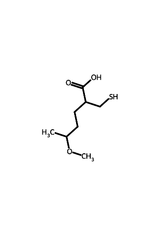 COC(C)CCC(CS)C(=O)O